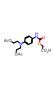 CC(=O)OCCN(CCOC(C)=O)c1ccc(NC(=O)OCC(=O)O)cc1